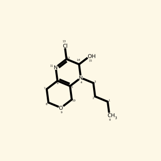 CCCCN1C2=C(CCOC2)N=C(Cl)C1O